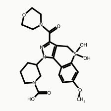 COc1ccc2c(c1)S(O)(O)Cc1c(C(=O)N3CCOCC3)nn(C3CCCN(C(=O)O)C3)c1-2